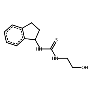 OCCNC(=S)NC1CCc2ccccc21